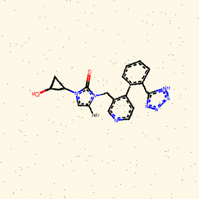 CCCCc1cn(C2CC2O)c(=O)n1Cc1cnccc1-c1ccccc1-c1nnn[nH]1